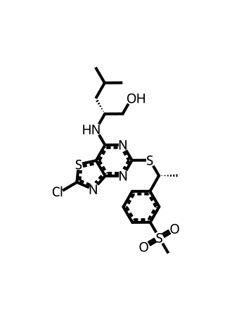 CC(C)C[C@H](CO)Nc1nc(S[C@H](C)c2cccc(S(C)(=O)=O)c2)nc2nc(Cl)sc12